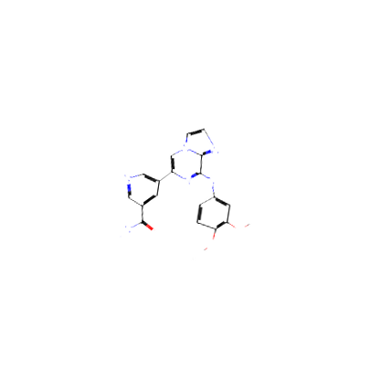 COc1ccc(Nc2nc(-c3cncc(C(N)=O)c3)cn3ccnc23)cc1OC